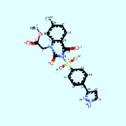 CC(C)(C)OC(=O)Cn1c(=O)n(S(=O)(=O)c2ccc(-c3cc[nH]n3)cc2)c(=O)c2ccc(Cl)cc21